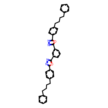 c1ccc(CCCCc2ccc(-c3nnc(-c4cccc(-c5nnc(-c6ccc(CCCCc7ccccc7)cc6)o5)c4)o3)cc2)cc1